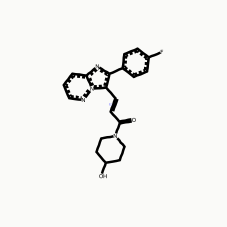 O=C(/C=C/c1c(-c2ccc(F)cc2)nc2cccnn12)N1CCC(O)CC1